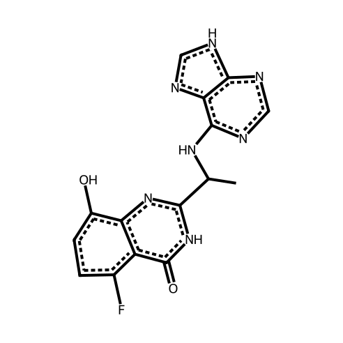 CC(Nc1ncnc2[nH]cnc12)c1nc2c(O)ccc(F)c2c(=O)[nH]1